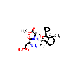 COC(=O)[C@H](COC(C1CCC1)C1C(C)(C)CCCC1(C)C)NC(=O)[C@@H](N)CC(=O)O